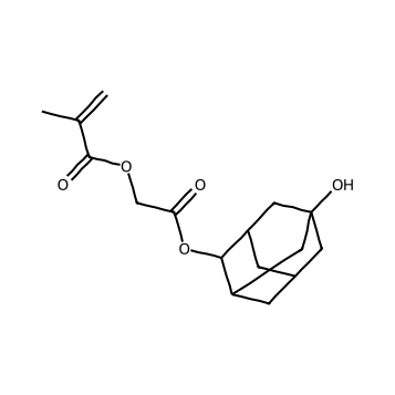 C=C(C)C(=O)OCC(=O)OC1C2CC3CC1CC(O)(C3)C2